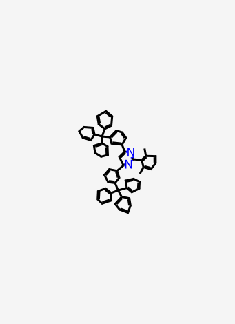 Cc1cccc(C)c1-c1nc(-c2cccc(C(C3=CCCC=C3)(C3=CCCC=C3)c3ccccc3)c2)cc(-c2cccc(C(c3ccccc3)(c3ccccc3)c3ccccc3)c2)n1